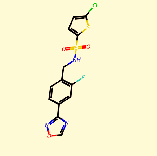 O=S(=O)(NCc1ccc(-c2ncon2)cc1F)c1ccc(Cl)s1